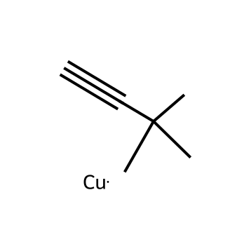 C#CC(C)(C)C.[Cu]